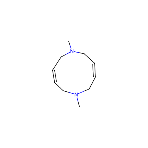 CN1C/C=C\CN(C)C/C=C\C1